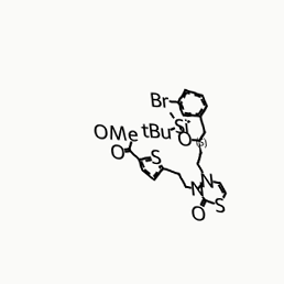 COC(=O)c1ccc(CCN2C(=O)SC=CN2CC[C@H](Cc2cccc(Br)c2)O[Si](C)(C)C(C)(C)C)s1